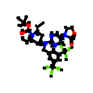 CC[C@@H]1C[C@H](N(Cc2cc(C(F)(F)F)cc(C(F)(F)F)c2)c2ncc(N3CCOC3=O)cn2)C[C@H](CC)N1C(=O)OC(C)(C)C